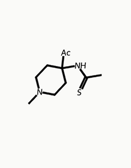 CC(=O)C1(NC(C)=S)CCN(C)CC1